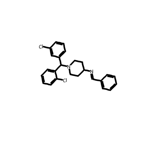 Clc1cccc(C(c2ccccc2Cl)N2CCC(N=Cc3ccccc3)CC2)c1